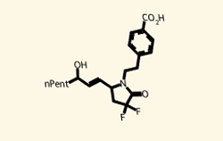 CCCCCC(O)/C=C/C1CC(F)(F)C(=O)N1CCc1ccc(C(=O)O)cc1